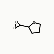 C1CSC(C2OO2)C1